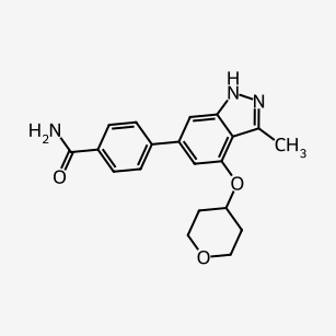 Cc1n[nH]c2cc(-c3ccc(C(N)=O)cc3)cc(OC3CCOCC3)c12